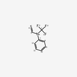 FC(F)(F)N(C=S)c1ccccc1